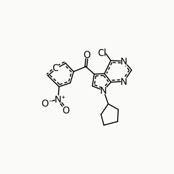 O=C(c1cccc([N+](=O)[O-])c1)c1cn(C2CCCC2)c2ncnc(Cl)c12